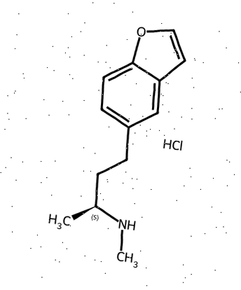 CN[C@@H](C)CCc1ccc2occc2c1.Cl